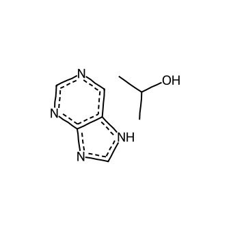 CC(C)O.c1ncc2[nH]cnc2n1